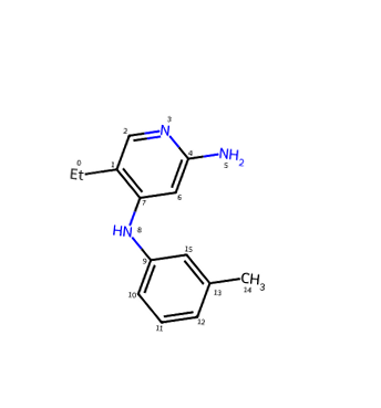 CCc1cnc(N)cc1Nc1cccc(C)c1